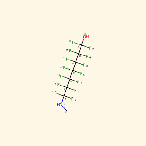 CNC(F)(F)C(F)(F)C(F)(F)C(F)(F)C(F)(F)C(F)(F)C(O)(F)F